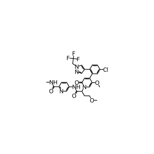 CNC(=O)c1ccc(NC(=O)C(CCOC)n2cc(OC)c(-c3cc(Cl)ccc3-c3cnn(CC(F)(F)F)c3)cc2=O)cn1